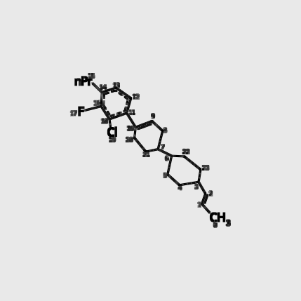 C/C=C/C1CCC(C2CC=C(c3ccc(CCC)c(F)c3Cl)CC2)CC1